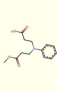 COC(=O)CCN(CCC(=O)O)c1ccccc1